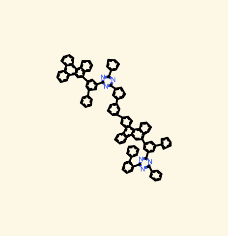 c1ccc(-c2cc(-c3nc(-c4ccccc4)nc(-c4cccc(-c5cccc(-c6ccc7c(c6)c6ccccc6c6cc(-c8cc(-c9ccccc9)cc(-c9nc(-c%10ccccc%10)nc(-c%10ccccc%10-c%10ccccc%10)n9)c8)c8ccccc8c76)c5)c4)n3)cc(-c3cc4c5ccccc5c5ccccc5c4c4ccccc34)c2)cc1